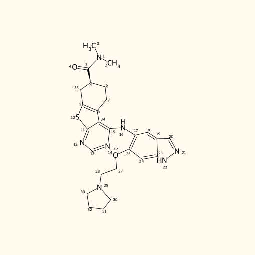 CN(C)C(=O)[C@H]1CCc2c(sc3ncnc(Nc4cc5cn[nH]c5cc4OCCN4CCCC4)c23)C1